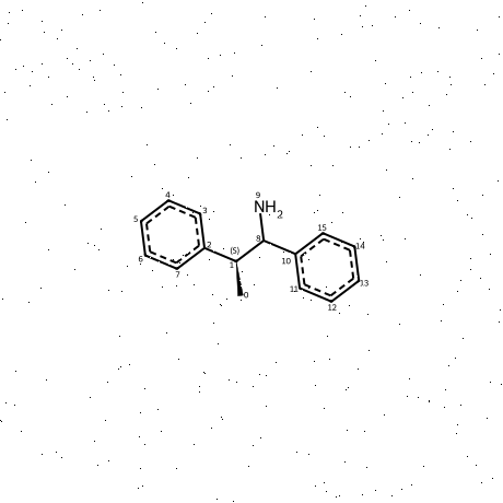 C[C@@H](c1ccccc1)C(N)c1ccccc1